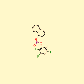 O=[P](Oc1c(F)c(F)c(F)c(F)c1F)Oc1cccc2ccccc12